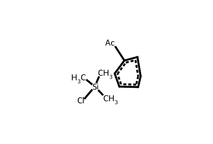 CC(=O)c1ccccc1.C[Si](C)(C)Cl